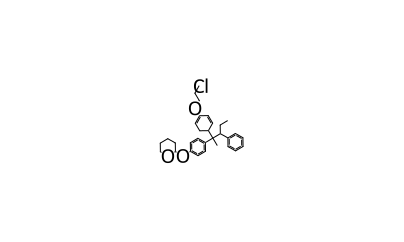 CCC(c1ccccc1)C(C)(c1ccc(OC2CCCCO2)cc1)C1C=CC(OCCCl)=CC1